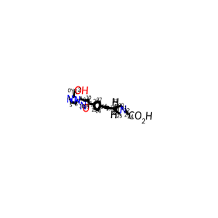 C[C@H](O)c1nccn1Cc1cc(-c2ccc(C#CC3[C@H]4CN(CCC(=O)O)C[C@@H]34)cc2)on1